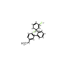 CCc1cccc(-c2ccccc2C2(F)C=C(F)C=CC2)c1